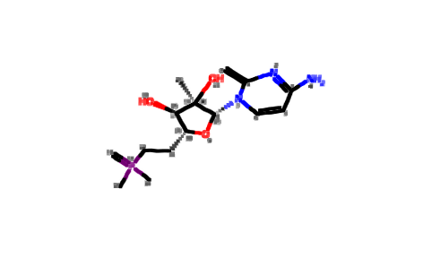 C=C1N=C(N)C=CN1[C@@H]1O[C@H](CCP(=C)(C)C)[C@@H](O)[C@@]1(C)O